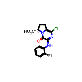 CCc1ccccc1Nc1nc(Cl)c2n(c1=O)[C@H](C(=O)O)CC2